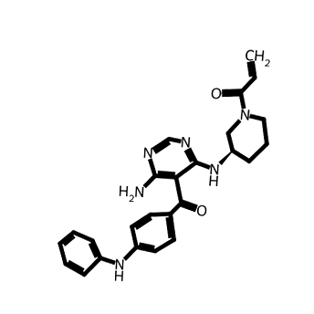 C=CC(=O)N1CCC[C@@H](Nc2ncnc(N)c2C(=O)c2ccc(Nc3ccccc3)cc2)C1